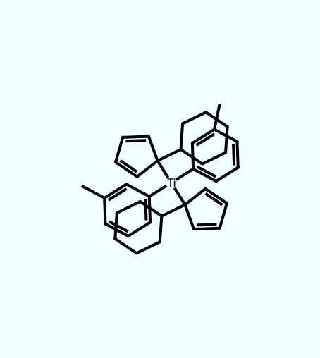 Cc1ccc[c]([Ti]([c]2cccc(C)c2)([C]2(C3CCCCC3)C=CC=C2)[C]2(C3CCCCC3)C=CC=C2)c1